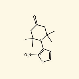 CC1(C)CC(=O)CC(C)(C)N1c1ccsc1[N+](=O)[O-]